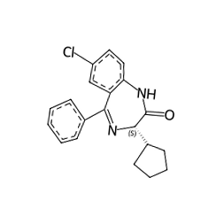 O=C1Nc2ccc(Cl)cc2C(c2ccccc2)=N[C@H]1C1CCCC1